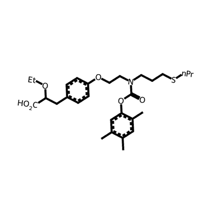 CCCSCCCN(CCOc1ccc(CC(OCC)C(=O)O)cc1)C(=O)Oc1cc(C)c(C)cc1C